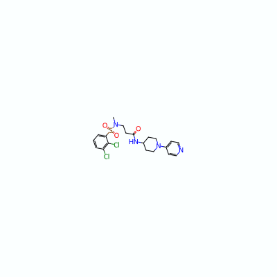 CN(CCC(=O)NC1CCN(c2ccncc2)CC1)S(=O)(=O)c1cccc(Cl)c1Cl